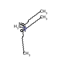 CCCCCCCCCCCCCCC#CCCCc1ccccc1/N=C(/C=C/CCCCCCCCCCCCCCCC)C(\CCCC)=N\c1ccccc1CCCC#CCCCCCCCCCCCCCC.[Ni]